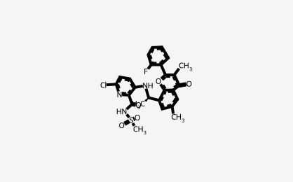 Cc1cc([C@@H](C)Nc2ccc(Cl)nc2C(=O)NS(C)(=O)=O)c2oc(-c3ccccc3F)c(C)c(=O)c2c1